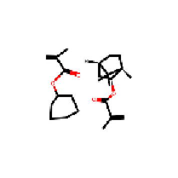 C=C(C)C(=O)OC1CCCCC1.C=C(C)C(=O)O[C@H]1C[C@@H]2CC[C@@]1(C)C2(C)C